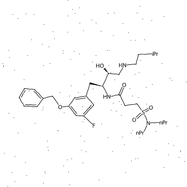 CCCN(CCC)S(=O)(=O)CCC(=O)N[C@@H](Cc1cc(F)cc(OCc2ccccc2)c1)[C@@H](O)CNCCC(C)C